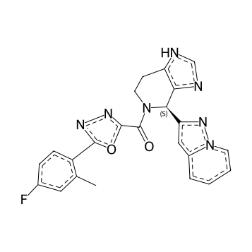 Cc1cc(F)ccc1-c1nnc(C(=O)N2CCc3[nH]cnc3[C@H]2c2cc3ccccn3n2)o1